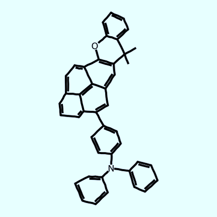 CC1(C)c2ccccc2Oc2c1cc1cc(-c3ccc(N(c4ccccc4)c4ccccc4)cc3)c3cccc4ccc2c1c43